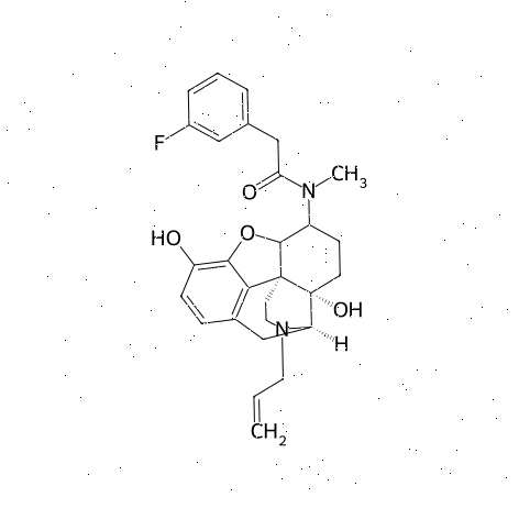 C=CCN1CC[C@]23c4c5ccc(O)c4OC2C(N(C)C(=O)Cc2cccc(F)c2)CC[C@@]3(O)[C@H]1C5